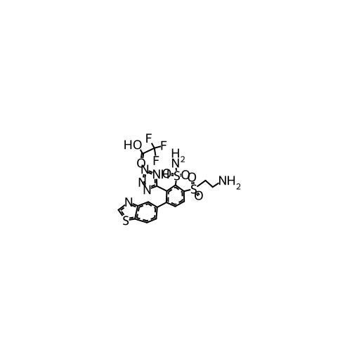 NCCS(=O)(=O)c1ccc(-c2ccc3scnc3c2)c(-c2nnn[nH]2)c1S(N)(=O)=O.O=C(O)C(F)(F)F